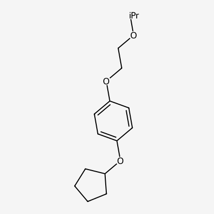 CC(C)OCCOc1ccc(OC2CCCC2)cc1